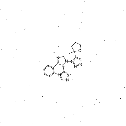 CC1(c2cnnn2N2CN=C3c4ccccc4-n4cncc4N32)CCCO1